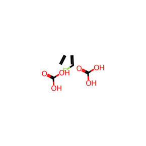 C=C.C=CF.O=C(O)O.O=C(O)O